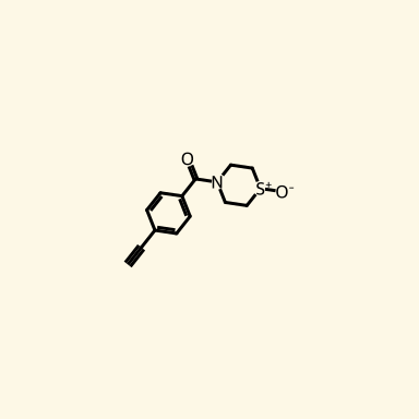 C#Cc1ccc(C(=O)N2CC[S+]([O-])CC2)cc1